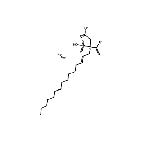 CCCCCCCCCCCCC=CCC(CC(=O)[O-])(C(=O)[O-])S(=O)(=O)O.[Na+].[Na+]